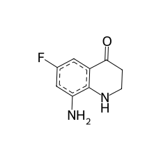 Nc1cc(F)cc2c1NCCC2=O